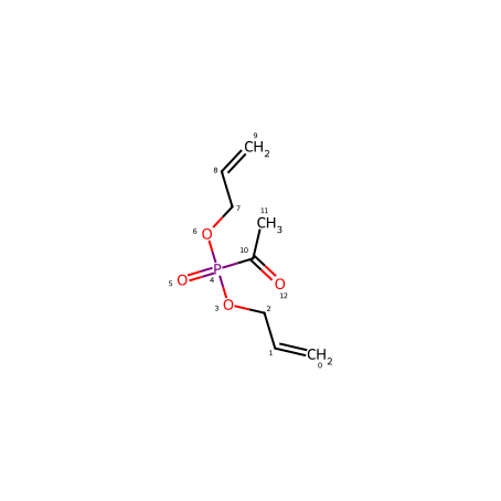 C=CCOP(=O)(OCC=C)C(C)=O